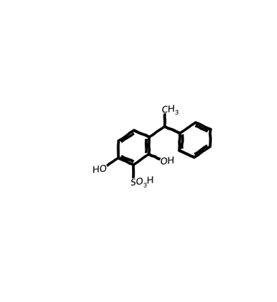 CC(c1ccccc1)c1ccc(O)c(S(=O)(=O)O)c1O